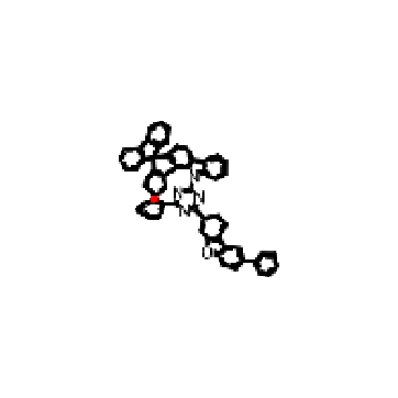 c1ccc(-c2ccc3oc4cc(-c5nc(-c6ccccc6)nc(-n6c7ccccc7c7ccc8c(c76)-c6ccccc6C86c7ccccc7-c7ccccc76)n5)ccc4c3c2)cc1